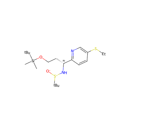 CCSc1ccc([C@@H](CCO[Si](C)(C)C(C)(C)C)N[S+]([O-])C(C)(C)C)nc1